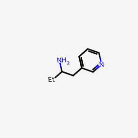 CCC(N)Cc1cccnc1